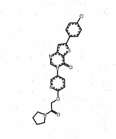 O=C(COc1ccc(-n2cnc3cc(-c4ccc(Cl)cc4)sc3c2=O)cn1)N1CCCC1